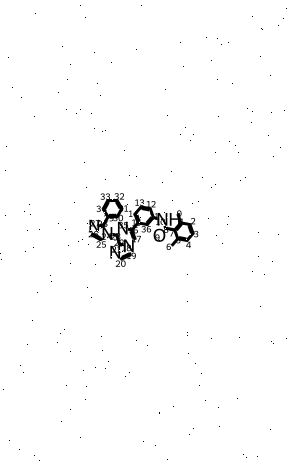 Cc1cccc(C)c1C(=O)Nc1cccc(-c2cn3ccnc3c(-n3ccnc3-c3ccccc3)n2)c1